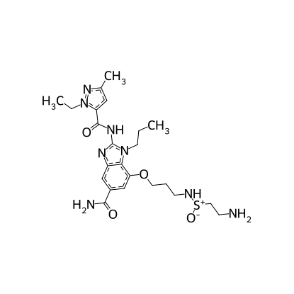 CCCn1c(NC(=O)c2cc(C)nn2CC)nc2cc(C(N)=O)cc(OCCCN[S+]([O-])CCN)c21